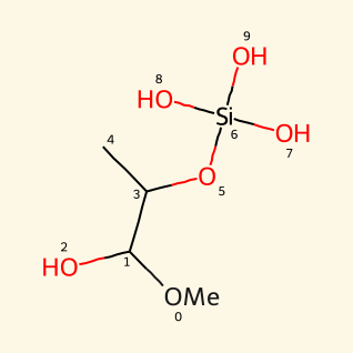 COC(O)C(C)O[Si](O)(O)O